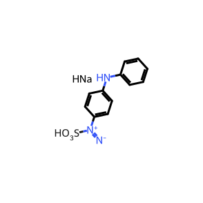 [N-]=[N+](c1ccc(Nc2ccccc2)cc1)S(=O)(=O)O.[NaH]